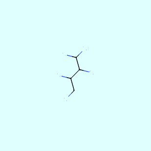 NCC(N)C(N)C(N)N